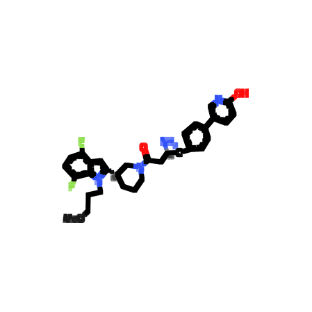 COCCCn1c([C@H]2CCCN(C(=O)C[C@H](N)Cc3ccc(-c4ccc(O)nc4)cc3)C2)cc2c(F)ccc(F)c21